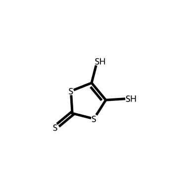 S=c1sc(S)c(S)s1